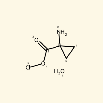 NC1(C(=O)OCl)CC1.O